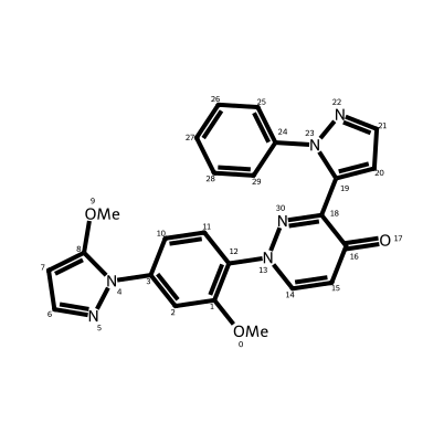 COc1cc(-n2nccc2OC)ccc1-n1ccc(=O)c(-c2ccnn2-c2ccccc2)n1